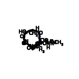 CC1=C\[C@@H](O)CC(=O)Cc2nc(co2)C(=O)N2CCC[C@@H]2C(=O)O[C@H]([C@H](C)COC(=O)Nc2ccn(C)n2)[C@H](C)/C=C/C(=O)NC\C=C\1